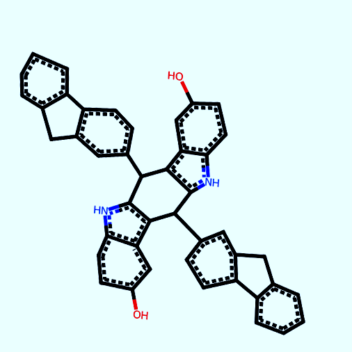 Oc1ccc2[nH]c3c(c2c1)C(c1ccc2c(c1)Cc1ccccc1-2)c1[nH]c2ccc(O)cc2c1C3c1ccc2c(c1)Cc1ccccc1-2